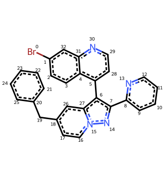 Brc1ccc2c(-c3c(-c4ccccn4)nn4ccc(Cc5ccccc5)cc34)ccnc2c1